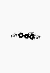 CCCC1=CC=C(c2ccc(C3CCC(CCC)CC3)cc2)C(F)(F)C1(F)F